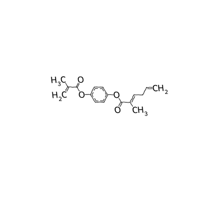 C=CCC=C(C)C(=O)Oc1ccc(OC(=O)C(=C)C)cc1